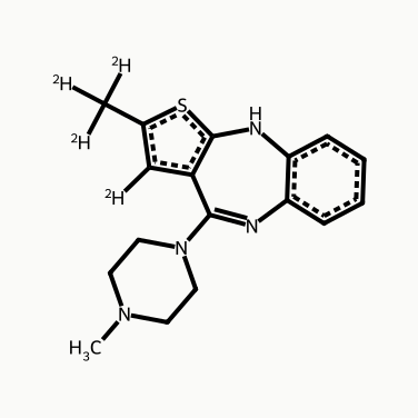 [2H]c1c(C([2H])([2H])[2H])sc2c1C(N1CCN(C)CC1)=Nc1ccccc1N2